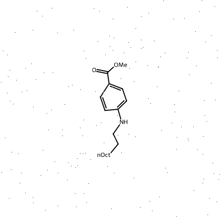 CCCCCCCCCCNc1ccc(C(=O)OC)cc1